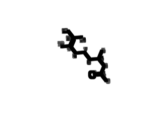 CC(=O)CC(C)CCCC(C)=C(C)C